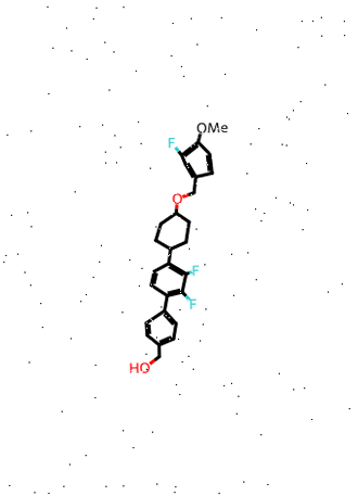 COc1ccc(COC2CCC(c3ccc(-c4ccc(CO)cc4)c(F)c3F)CC2)cc1F